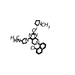 CNC1CCN(c2nc(OC[C@@H]3CCCN3C)nc3c2CCN(c2cccc4cccc(Cl)c24)C3)C1